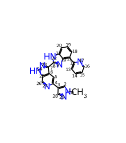 Cn1cc(-c2cc3c(-c4nc5c(-c6ccccn6)cccc5[nH]4)n[nH]c3cn2)cn1